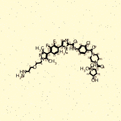 Cc1nn(CCOCCNN)c(C)c1-c1ccc(-c2cnc(C(=O)Nc3ccc(C(=O)N4CCN(C(=O)[C@@H]5C[C@@H](O)C[N+]5(C)C)CC4)c(Cl)c3)n2C)c(F)c1F